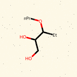 CCCOC(CC)C(O)CO